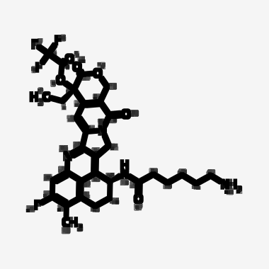 CC[C@@]1(OC(=O)C(F)(F)F)C(=O)OCc2c1cc1n(c2=O)Cc2c-1nc1cc(F)c(C)c3c1c2[C@@H](NC(=O)CCCCCN)CC3